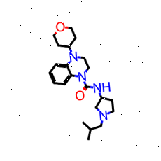 CC(C)CN1CCC(NC(=O)N2CCN(C3CCOCC3)c3ccccc32)C1